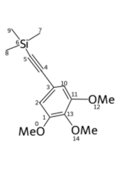 COc1cc(C#C[Si](C)(C)C)cc(OC)c1OC